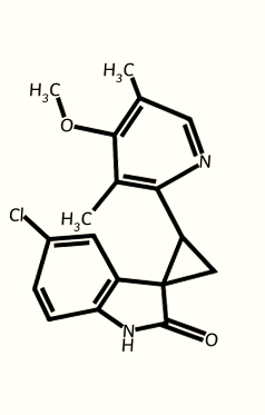 COc1c(C)cnc(C2CC23C(=O)Nc2ccc(Cl)cc23)c1C